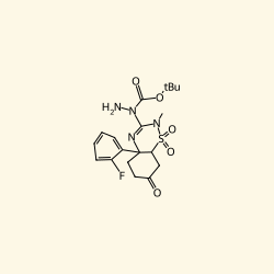 CN1C(N(N)C(=O)OC(C)(C)C)=NC2(c3ccccc3F)CCC(=O)CC2S1(=O)=O